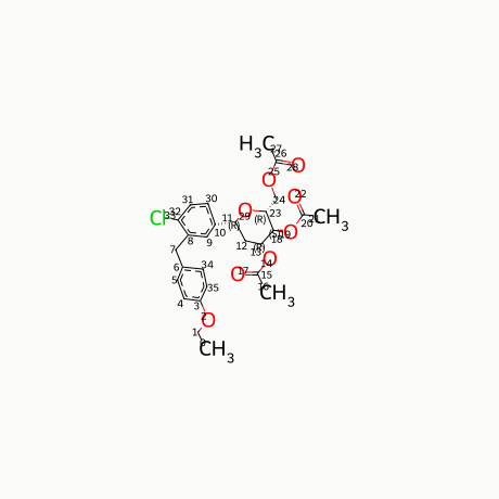 CCOc1ccc(Cc2cc([C@H]3C[C@@H](OC(C)=O)[C@H](OC(C)=O)[C@@H](COC(C)=O)O3)ccc2Cl)cc1